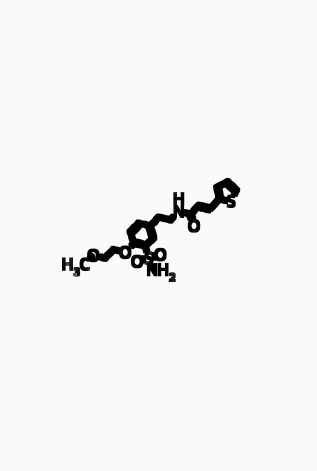 COCCOc1ccc(CCNC(=O)C=Cc2cccs2)cc1S(N)(=O)=O